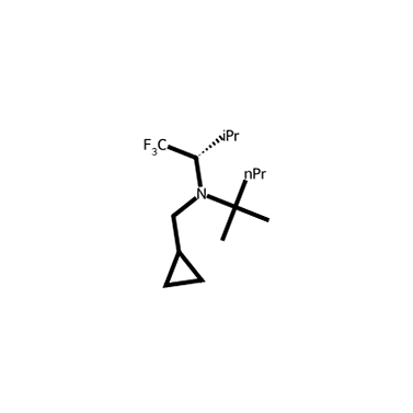 CCCC(C)(C)N(CC1CC1)[C@@H](C(C)C)C(F)(F)F